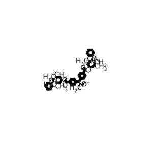 C=[N+]([O-])C(c1ccc(C(=O)OC2CC(C)(C)N(OC3CCCCC3)C(C)(C)C2)cc1)c1ccc(C(=O)OC2CC(C)(C)N(OC3CCCCC3)C(C)(C)C2)cc1